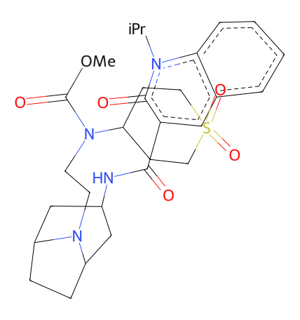 COC(=O)N(CCN1C2CCC1CC(NC(=O)c1cc3ccccc3n(C(C)C)c1=O)C2)C1CCS(=O)(=O)CC1